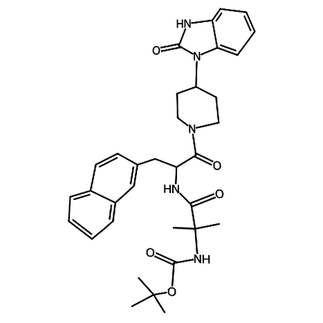 CC(C)(C)OC(=O)NC(C)(C)C(=O)NC(Cc1ccc2ccccc2c1)C(=O)N1CCC(n2c(=O)[nH]c3ccccc32)CC1